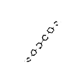 C[n+]1ccn(-c2ccc(-[n+]3ccc(-c4cc[n+](-c5ccc(-n6cc[n+](C)c6)cc5)cc4)cc3)cc2)c1